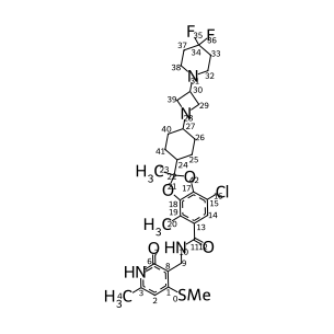 CSc1cc(C)[nH]c(=O)c1CNC(=O)c1cc(Cl)c2c(c1C)OC(C)(C1CCC(N3CC(N4CCC(F)(F)CC4)C3)CC1)O2